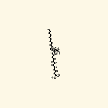 CCCCCCCCCCON(CCCCCCCCCCCC(=O)O)P(=O)(O)O